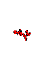 c1ccc(-c2cc(-c3ccccc3)cc(-c3cc(-c4ccc(-c5ccc6c(ccc7nc(-c8ccccc8)cc(-c8ccccc8)c76)c5)cc4)nc(-c4ccccc4)n3)c2)cc1